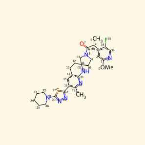 COc1cc([C@@H](C)C(=O)N2CC[C@@]3(CCc4cc(-c5nnc(N6CCCCC6)s5)c(C)nc4N3)C2)c(F)cn1